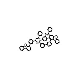 c1ccc(-c2cc(-c3cccc(-c4cccc5c4oc4ccccc45)c3)nc(-c3cccc(-c4cccc(-c5c6c(cc7c(-c8ccccc8)nc8ccccc8c57)oc5ccccc56)c4)c3)n2)cc1